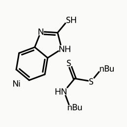 CCCCNC(=S)SCCCC.Sc1nc2ccccc2[nH]1.[Ni]